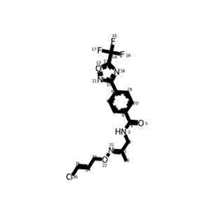 CC(CNC(=O)c1ccc(-c2noc(C(F)(F)F)n2)cc1)=NOCC=CCl